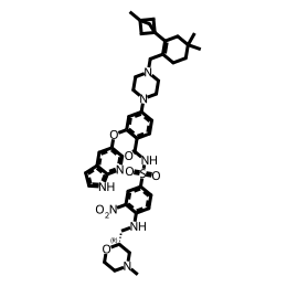 CN1CCO[C@H](CNc2ccc(S(=O)(=O)NC(=O)c3ccc(N4CCN(CC5=C(C67CC(C)(C6)C7)CC(C)(C)CC5)CC4)cc3Oc3cnc4[nH]ccc4c3)cc2[N+](=O)[O-])C1